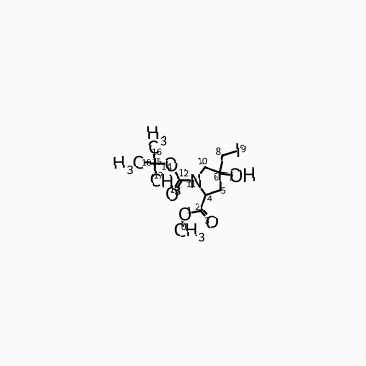 COC(=O)C1CC(O)(CI)CN1C(=O)OC(C)(C)C